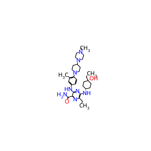 CCc1nc(C(N)=O)c(Nc2ccc(N3CCC(N4CCN(C)CC4)CC3)c(C)c2)nc1N[C@H]1CC[C@](O)(CC)CC1